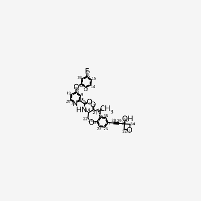 CN1C(=O)[C@H](NC(=O)c2cc(Oc3cccc(F)c3)ccn2)COc2ccc(C#CC3(O)COC3)cc21